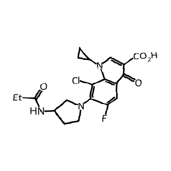 CCC(=O)NC1CCN(c2c(F)cc3c(=O)c(C(=O)O)cn(C4CC4)c3c2Cl)C1